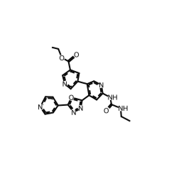 CCNC(=O)Nc1cc(-c2nnc(-c3ccncc3)o2)c(-c2cncc(C(=O)OCC)c2)cn1